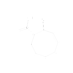 NC1C=CCCCCC1C(=O)O